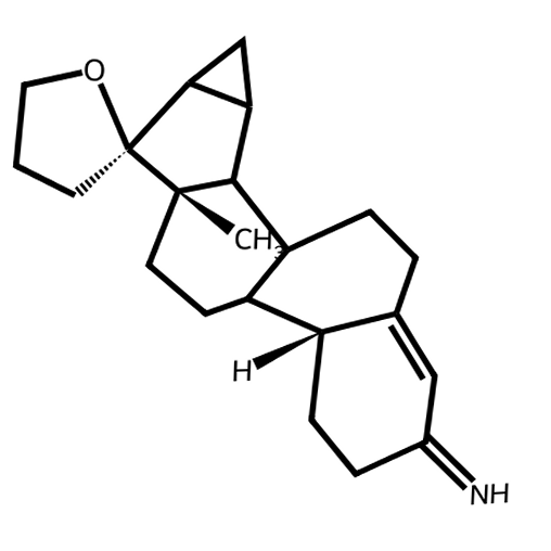 C[C@]12CCC3C(CCC4=CC(=N)CC[C@@H]43)C1C1CC1[C@@]21CCCO1